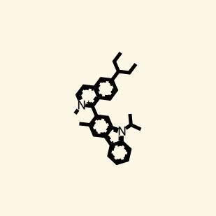 CCC(CC)c1ccc2c(-c3cc4c(cc3C)c3ccccc3n4C(C)C)[n+](C)ccc2c1